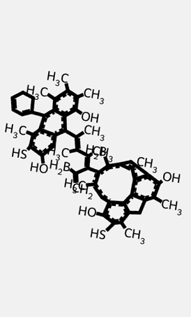 BC(=C)/C(=C(C)\C(C)=C(/C)c1c2cc(O)c(S)c(C)c2c(C2=CC=CCC2)c2c(C)c(C)c(C)c(O)c12)c1c(C)cc2c(O)c(S)c(C)c3c2c2c(c(C)c(O)c4c2c(C)c(c1B)C4)C3